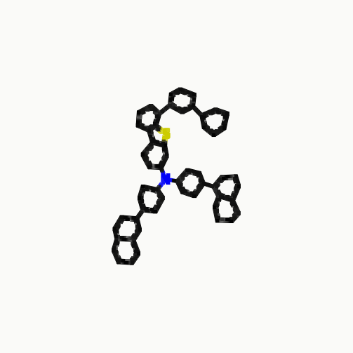 c1ccc(-c2cccc(-c3cccc4c3sc3cc(N(c5ccc(-c6ccc7ccccc7c6)cc5)c5ccc(-c6cccc7ccccc67)cc5)ccc34)c2)cc1